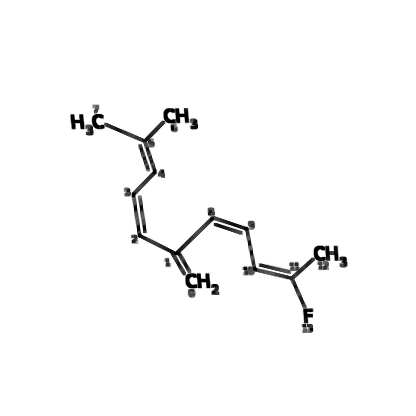 C=C(/C=C\C=C(C)C)/C=C\C=C(/C)F